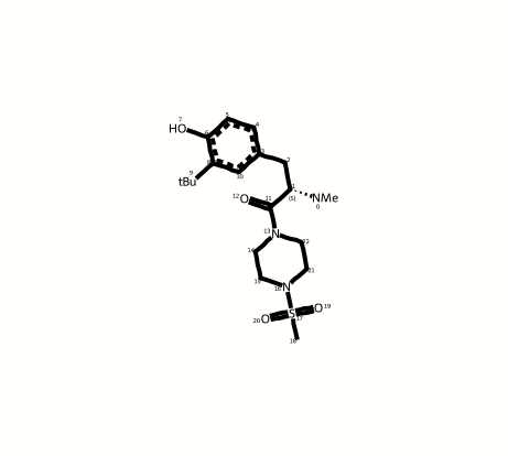 CN[C@@H](Cc1ccc(O)c(C(C)(C)C)c1)C(=O)N1CCN(S(C)(=O)=O)CC1